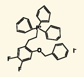 Fc1cc(CC[P+](c2ccccc2)(c2ccccc2)c2ccccc2)c(OCc2ccccc2)cc1F.[I-]